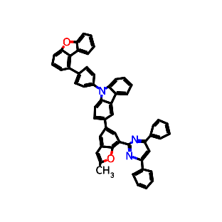 Cc1cc2cc(-c3ccc4c(c3)c3ccccc3n4-c3ccc(-c4cccc5oc6ccccc6c45)cc3)cc(-c3nc(-c4ccccc4)cc(-c4ccccc4)n3)c2o1